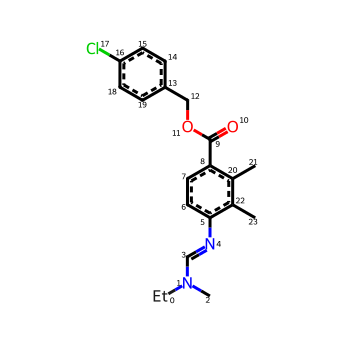 CCN(C)/C=N/c1ccc(C(=O)OCc2ccc(Cl)cc2)c(C)c1C